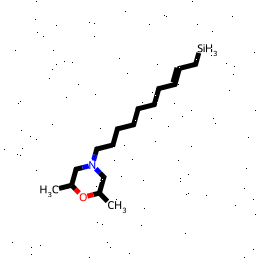 CC1CN(CCCCCCCC=CC[SiH3])CC(C)O1